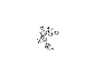 CNc1ncc(-c2ccc3c(c2)c(C(C)O)cn3CC(=O)N(C[C@@H](C)F)[C@@H](C)C(=O)Nc2cccc(-c3ccccc3Cl)c2F)cn1